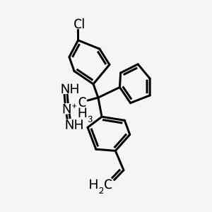 C=Cc1ccc(C(C)(c2ccccc2)c2ccc(Cl)cc2)cc1.N=[N+]=N